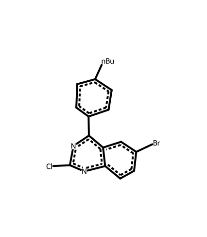 CCCCc1ccc(-c2nc(Cl)nc3ccc(Br)cc23)cc1